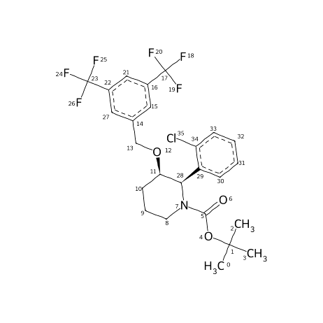 CC(C)(C)OC(=O)N1CCC[C@@H](OCc2cc(C(F)(F)F)cc(C(F)(F)F)c2)[C@H]1c1ccccc1Cl